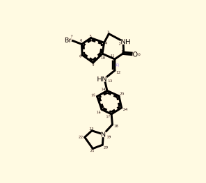 O=C1NCc2cc(Br)ccc2/C1=C\Nc1ccc(CN2CCCC2)cc1